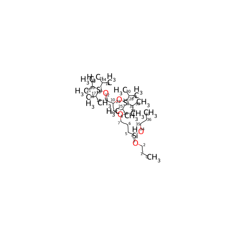 CCCO[SiH](CCCOCC(CO[Si](C(C)C)(C(C)C)C(C)C)O[Si](C(C)C)(C(C)C)C(C)C)OCCC